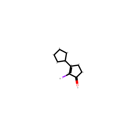 O=C1CCC(C2CCCC2)=C1I